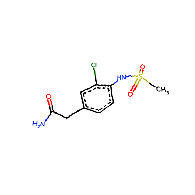 CS(=O)(=O)Nc1ccc([CH]C(N)=O)cc1Cl